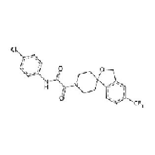 O=C(Nc1ccc(Cl)cc1)C(=O)N1CCC2(CC1)OCc1cc(C(F)(F)F)ccc12